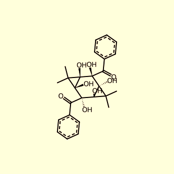 CC1(C)[C@@]2(O)[C@](O)(C(=O)c3ccccc3)[C@@]3(O)C(C)(C)[C@]3(O)[C@@](O)(C(=O)c3ccccc3)[C@@]12O